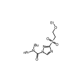 CCCN(C(=O)n1cnc(S(=O)(=O)CCOCC)n1)C(C)CC